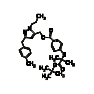 CCCn1nc(Cc2ccc(C)cc2)cc1COC(=O)c1ccc(SC(C)(C)C(=O)OC(C)(C)C)cc1